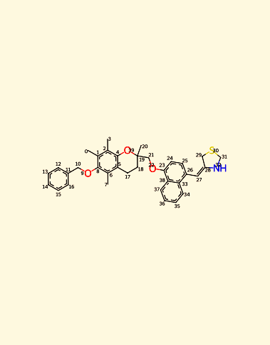 Cc1c(C)c2c(c(C)c1OCc1ccccc1)CCC(C)(COc1ccc(C=C3CSCN3)c3ccccc13)O2